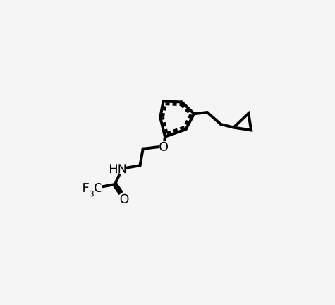 O=C(NCCOc1cccc(CCC2CC2)c1)C(F)(F)F